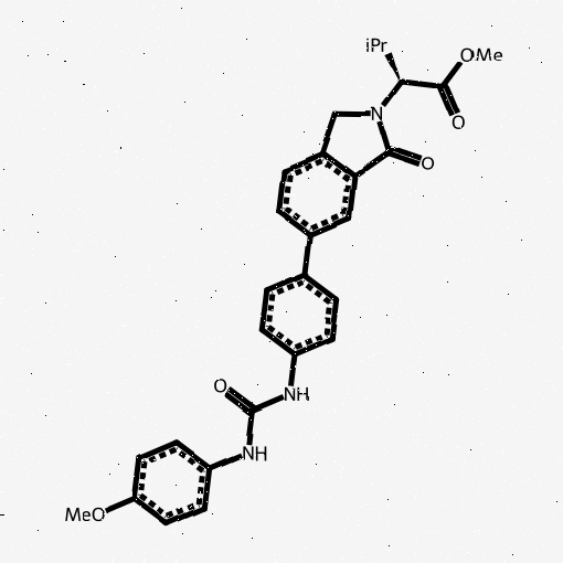 COC(=O)[C@H](C(C)C)N1Cc2ccc(-c3ccc(NC(=O)Nc4ccc(OC)cc4)cc3)cc2C1=O